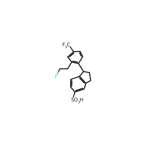 O=S(=O)(O)c1ccc2c(c1)CCC2c1ccc(C(F)(F)F)cc1CCF